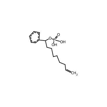 C=CCCCCCCC(OP(=O)(O)O)c1ccccc1